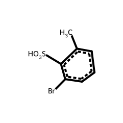 Cc1cccc(Br)c1S(=O)(=O)O